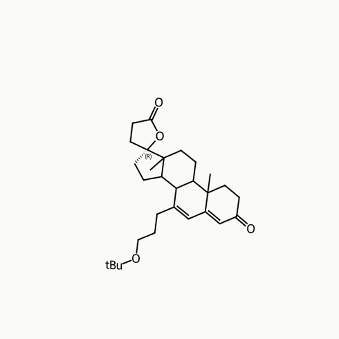 CC(C)(C)OCCCC1=CC2=CC(=O)CCC2(C)C2CCC3(C)C(CC[C@@]34CCC(=O)O4)C12